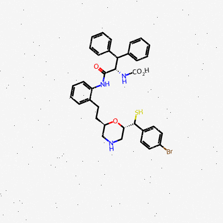 O=C(O)N[C@H](C(=O)Nc1ccccc1CC[C@@H]1CNC[C@@H](C(S)c2ccc(Br)cc2)O1)C(c1ccccc1)c1ccccc1